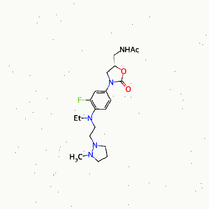 CCN(CCN1CCCN1C)c1ccc(N2C[C@H](CNC(C)=O)OC2=O)cc1F